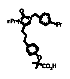 CCCn1c(CCCc2ccc(OC(C)(C)C(=O)O)cc2)cn(Cc2ccc(C(C)C)cc2)c1=O